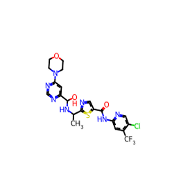 CC(NC(O)c1cc(N2CCOCC2)ncn1)c1ncc(C(=O)Nc2cc(C(F)(F)F)c(Cl)cn2)s1